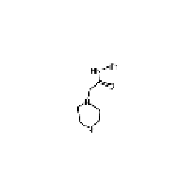 CC(C)NC(=O)CN1CC[N]CC1